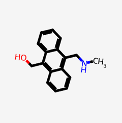 CNCc1c2ccccc2c(CO)c2ccccc12